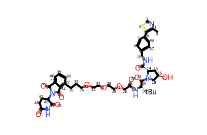 Cc1ncsc1-c1ccc(CNC(=O)[C@@H]2C[C@@H](O)CN2C(=O)[C@@H](NC(=O)COCCOCCOCCCc2cccc3c2C(=O)N(C2CCC(=O)NC2=O)C3=O)C(C)(C)C)cc1